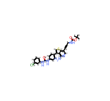 CC(C)(C)OC(=O)NCC#Cc1cnc(N)c2c(-c3ccc(NC(=O)Nc4cccc(Cl)c4)cc3)csc12